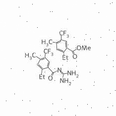 CCc1cc(C)c(C(F)(F)F)cc1C(=O)N=C(N)N.CCc1cc(C)c(C(F)(F)F)cc1C(=O)OC